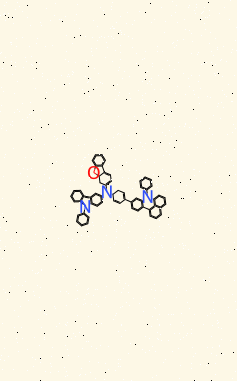 C1=CC(N(C2=CC=C3c4ccccc4OC3C2)c2ccc3c(c2)c2ccccc2n3-c2ccccc2)CC=C1c1ccc2c(c1)N(c1ccccc1)c1cccc3cccc-2c13